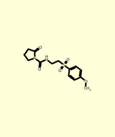 COc1ccc(S(=O)(=O)CCNC(=O)N2CCCC2=O)cc1